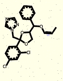 C/C=C\OC(c1ccccc1)C1COC(Cn2cncn2)(c2ccc(Cl)cc2Cl)O1